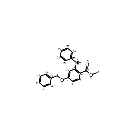 COC(=O)c1ccc(OCc2ccccc2)cc1Nc1ccccc1